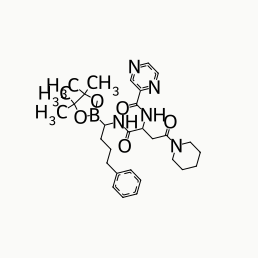 CC1(C)OB(C(CCCc2ccccc2)NC(=O)C(CC(=O)N2CCCCC2)NC(=O)c2cnccn2)OC1(C)C